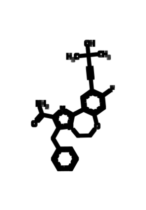 CC(C)(O)C#Cc1cc2c(cc1F)OCCn1c-2nc(C(N)=O)c1Cc1ccccc1